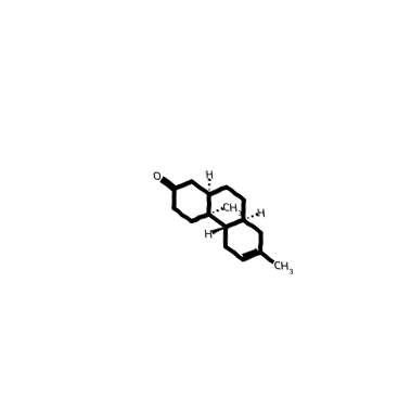 CC1=CC[C@H]2[C@@H](CC[C@@H]3CC(=O)CC[C@@]32C)C1